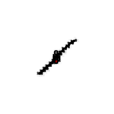 CCCCCCCCCCCC(=O)N1N2CCCCN1N2C(=O)CCCCCCCCCCC